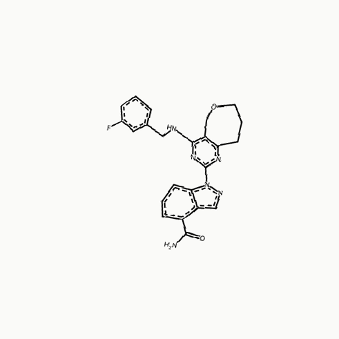 NC(=O)c1cccc2c1cnn2-c1nc2c(c(NCc3cccc(F)c3)n1)COCCC2